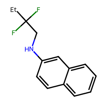 CCC(F)(F)CNc1ccc2ccccc2c1